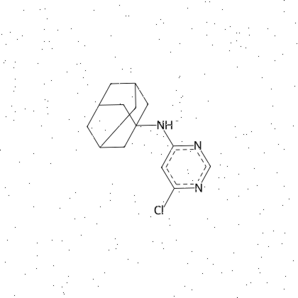 Clc1cc(NC23CC4CC(CC(C4)C2)C3)ncn1